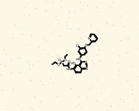 CCOP(=O)(CC(=O)Nc1ccc2ncnc(Nc3ccc(OCc4ccccn4)c(Cl)c3)c2c1O)OCC